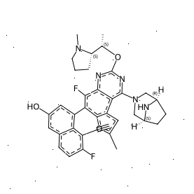 C#Cc1c(F)ccc2cc(O)cc(-c3c(F)c4nc(O[C@@H](C)[C@@H]5CCCN5C)nc(N5C[C@H]6CC[C@@H](C5)N6)c4c4cc(C)oc34)c12